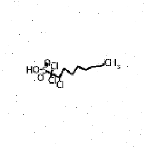 CCCCCCCC(Cl)C(Cl)(Cl)S(=O)(=O)O